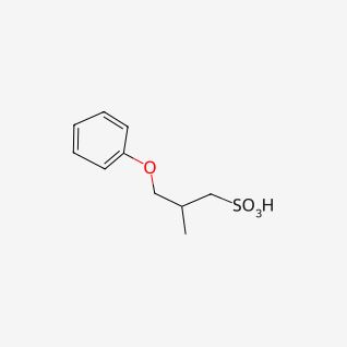 CC(COc1ccccc1)CS(=O)(=O)O